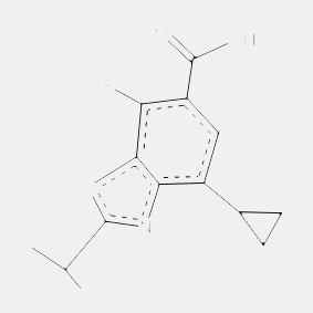 CC(C)c1nc2c(C3CC3)cc(C(=O)O)c(F)c2s1